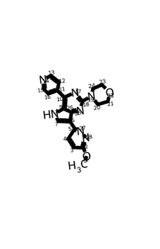 COc1ccc(-c2c[nH]c3c(-c4ccncc4)nc(N4CCOCC4)nc23)nn1